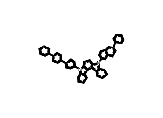 c1ccc(-c2ccc(-c3ccc(-n4c5ccccc5c5c6c7ccccc7n(-c7ccc8cc(-c9ccccc9)ccc8c7)c6ccc54)cc3)cc2)cc1